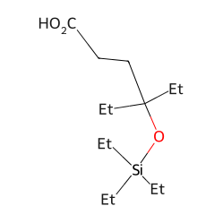 CCC(CC)(CCC(=O)O)O[Si](CC)(CC)CC